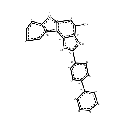 Clc1cc2oc3ccccc3c2c2nc(-c3ccc(-c4ccccc4)cc3)sc12